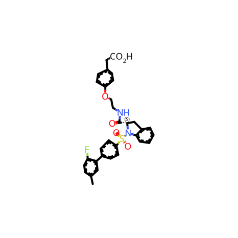 Cc1ccc(F)c(-c2ccc(S(=O)(=O)N3c4ccccc4C[C@H]3C(=O)NCCOc3ccc(CC(=O)O)cc3)cc2)c1